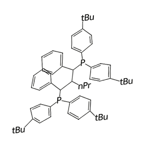 CCCC(C(c1ccccc1)P(c1ccc(C(C)(C)C)cc1)c1ccc(C(C)(C)C)cc1)C(c1ccccc1)P(c1ccc(C(C)(C)C)cc1)c1ccc(C(C)(C)C)cc1